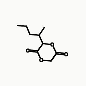 CCCC(C)C1OC(=O)COC1=O